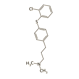 CN(C)CCCc1ccc(Sc2ccccc2Cl)cc1